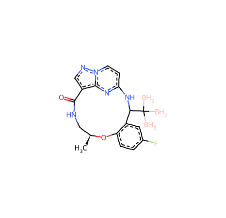 BC(B)(B)C1Nc2ccn3ncc(c3n2)C(=O)NC[C@H](C)Oc2ccc(F)cc21